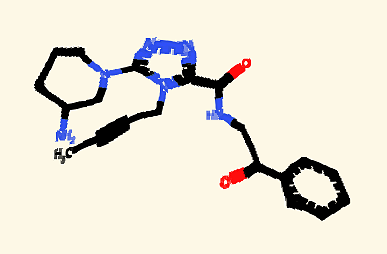 CC#CCn1c(C(=O)NCC(=O)c2ccccc2)nnc1N1CCCC(N)C1